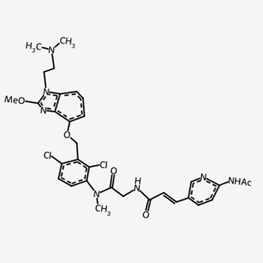 COc1nc2c(OCc3c(Cl)ccc(N(C)C(=O)CNC(=O)C=Cc4ccc(NC(C)=O)nc4)c3Cl)cccc2n1CCN(C)C